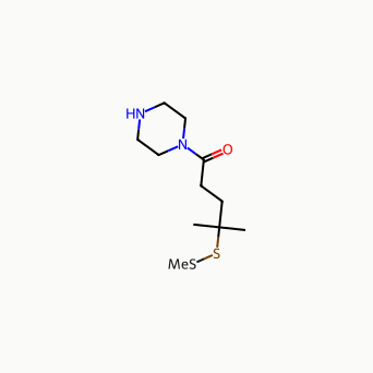 CSSC(C)(C)CCC(=O)N1CCNCC1